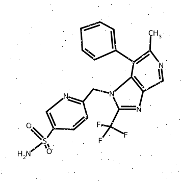 Cc1ncc2nc(C(F)(F)F)n(Cc3ccc(S(N)(=O)=O)cn3)c2c1-c1ccccc1